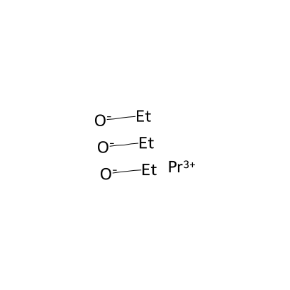 CC[O-].CC[O-].CC[O-].[Pr+3]